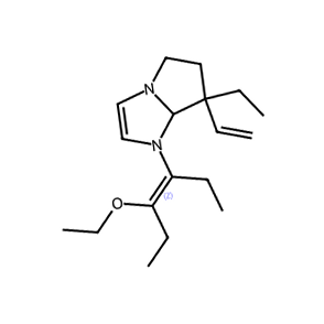 C=CC1(CC)CCN2C=CN(/C(CC)=C(/CC)OCC)C21